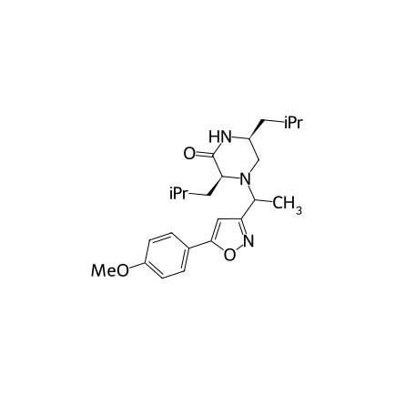 COc1ccc(-c2cc(C(C)N3C[C@H](CC(C)C)NC(=O)[C@@H]3CC(C)C)no2)cc1